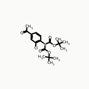 CC(=O)c1ccc(N(C(=O)OC(C)(C)C)C(=O)OC(C)(C)C)c(Cl)c1